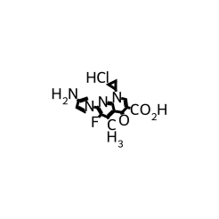 Cc1c(F)c(-n2ccc(N)c2)nc2c1c(=O)c(C(=O)O)cn2C1CC1.Cl